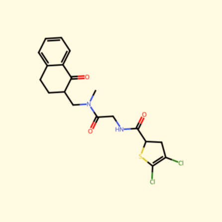 CN(CC1CCc2ccccc2C1=O)C(=O)CNC(=O)C1CC(Cl)=C(Cl)S1